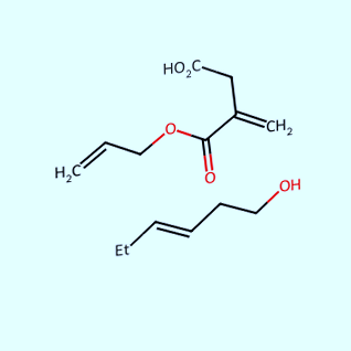 C=CCOC(=O)C(=C)CC(=O)O.CCC=CCCO